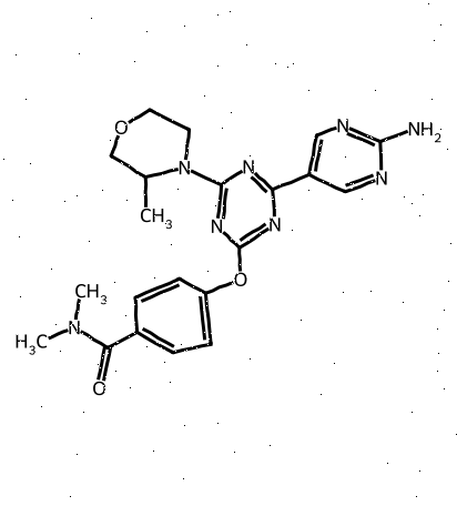 CC1COCCN1c1nc(Oc2ccc(C(=O)N(C)C)cc2)nc(-c2cnc(N)nc2)n1